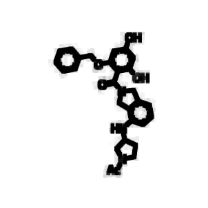 CC(=O)N1CCC(Nc2cccc3c2CN(C(=O)c2c(O)cc(O)cc2OCc2ccccc2)C3)C1